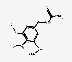 COc1cc(CNC(N)=S)cc(OC)c1OC